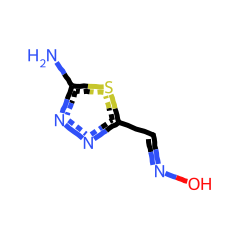 Nc1nnc(C=NO)s1